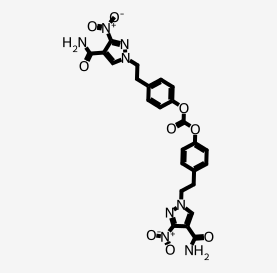 NC(=O)c1cn(CCc2ccc(OC(=O)Oc3ccc(CCn4cc(C(N)=O)c([N+](=O)[O-])n4)cc3)cc2)nc1[N+](=O)[O-]